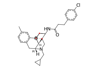 Cc1ccc2c(c1)[C@]13CCN(CC4CC4)[C@H](C2)[C@]12CCC(NC(=O)CCc1ccc(Cl)cc1)(CO2)C3